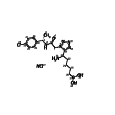 C[C@H](NC(=O)Cn1nnnc1C(N)CCCCB(O)O)c1ccc(Cl)cc1.Cl